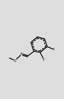 CON=Cc1cc[c]c(F)c1F